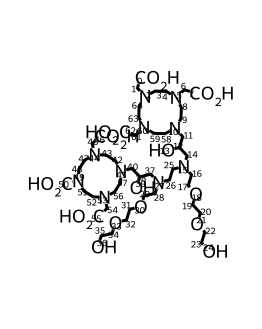 O=C(O)CN1CCN(CC(=O)O)CCN(CC(O)CN(CCOCCOCCO)CCN(CCOCCOCCO)CC(O)CN2CCN(CC(=O)O)CCN(C(=O)O)CCN(CC(=O)O)CC2)CCN(CC(=O)O)CC1